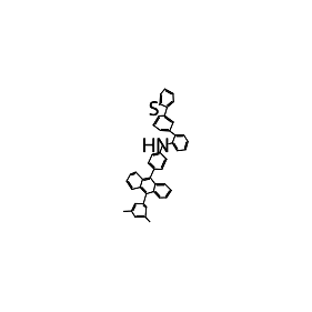 Cc1cc(C)cc(-c2c3ccccc3c(-c3ccc(Nc4ccccc4-c4ccc5sc6ccccc6c5c4)cc3)c3ccccc23)c1